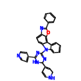 C1=CC(C2N=C(n3c4ccccc4c4c5oc(-c6ccccc6)nc5ccc43)N=C(c3ccncc3)N2)=CCN1